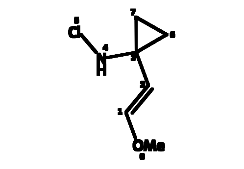 CO/C=C/C1(NCl)CC1